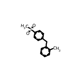 Cc1ccccc1Cc1ccc(S(C)(=O)=O)cc1